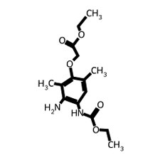 CCOC(=O)COc1c(C)cc(NC(=O)OCC)c(N)c1C